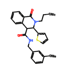 COCCN1C(=O)c2ccccc2C(C(=O)NCc2cccc(OC)c2)C1c1cccs1